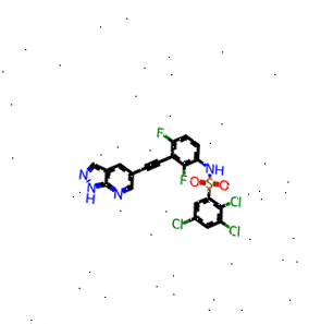 O=S(=O)(Nc1ccc(F)c(C#Cc2cnc3[nH]ncc3c2)c1F)c1cc(Cl)cc(Cl)c1Cl